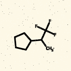 [CH2]C(C1CCCC1)C(F)(F)F